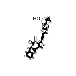 O=C(Nc1c(C#Cc2nc3nc(C4(C(=O)O)CC4)oc3o2)nsc1C1CC1)OCc1ccccc1